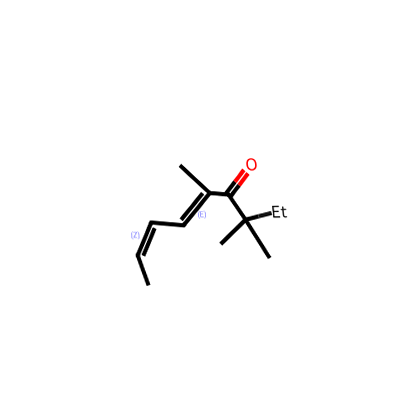 C/C=C\C=C(/C)C(=O)C(C)(C)CC